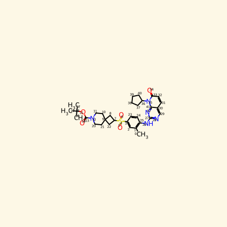 Cc1cc(S(=O)(=O)C2CC3(CCN(C(=O)OC(C)(C)C)CC3)C2)ccc1Nc1ncc2ccc(=O)n(C3CCCC3)c2n1